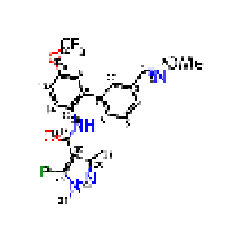 CO/N=C/c1cccc(-c2cc(OC(F)(F)F)ccc2NC(=O)c2c(C)nn(C)c2F)c1